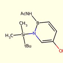 CC(=O)NB1C=CC(O)=CN1[Si](C)(C)C(C)(C)C